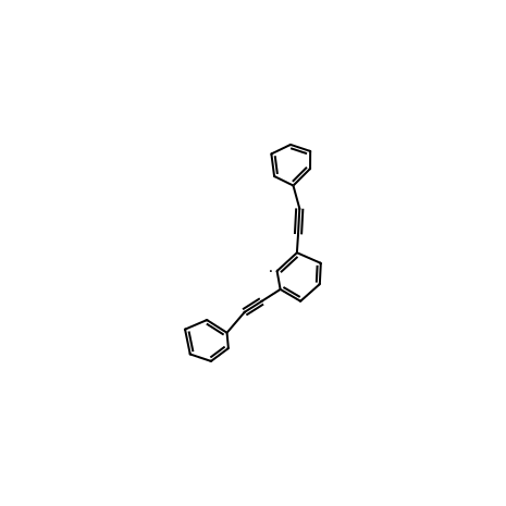 C(#Cc1ccccc1)c1[c]c(C#Cc2ccccc2)ccc1